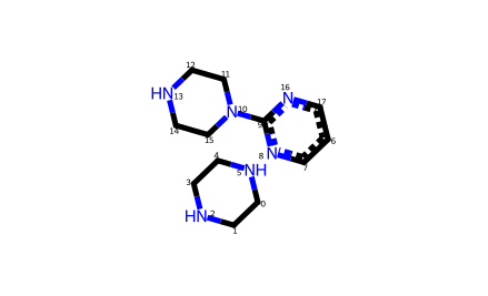 C1CNCCN1.c1cnc(N2CCNCC2)nc1